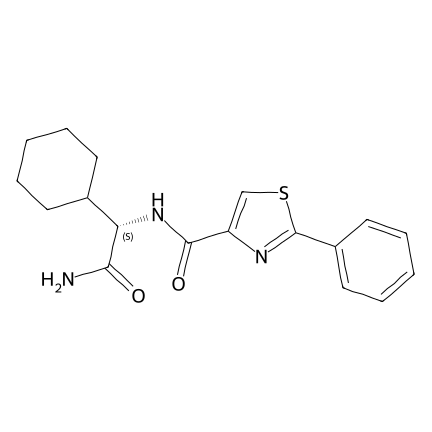 NC(=O)[C@@H](NC(=O)c1csc(-c2ccccc2)n1)C1CCCCC1